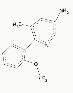 Cc1cc(N)cnc1-c1ccccc1OC(F)(F)F